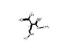 CN/C=C(\C(=N)OC)C(=O)O